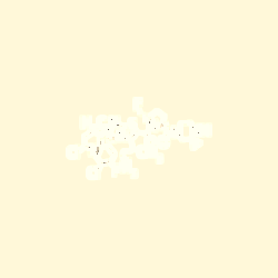 CC(C)C1=C(C(=O)N2[C@H](CF)CC[C@@H]2C(=O)N2CCNC3(CC3)C2)SC2=N[C@@](C)(c3ccc(Cl)nc3)[C@@H](c3ccc(Cl)c(F)c3)N21